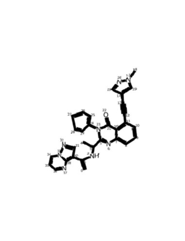 C=C(NC(C)c1nc2cccc(C#Cc3cnn(C)c3)c2c(=O)n1-c1ccccc1)c1cnn2cccnc12